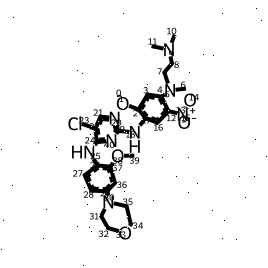 COc1cc(N(C)CCN(C)C)c([N+](=O)[O-])cc1Nc1ncc(Cl)c(Nc2ccc(N3CCOCC3)cc2OC)n1